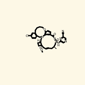 CO[C@H]1/C=C/C[C@H](C)CS(=O)(Nc2cncc(C#N)n2)=NC(=O)c2ccc3c(c2)N(Cc2ccc(Cl)cc2CCCCO3)C[C@@H]2CC[C@H]21